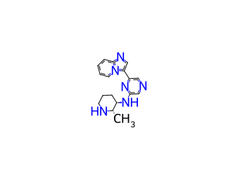 C[C@@H]1NCCC[C@H]1Nc1cncc(-c2cnc3ccccn23)n1